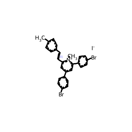 Cc1ccc(/C=C/c2cc(-c3ccc(Br)cc3)cc(-c3ccc(Br)cc3)[n+]2C)cc1.[I-]